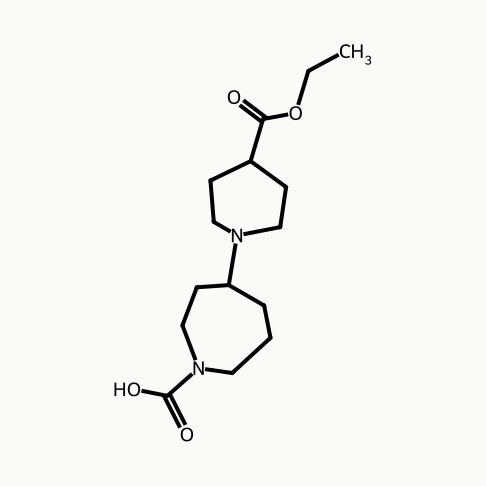 CCOC(=O)C1CCN(C2CCCN(C(=O)O)CC2)CC1